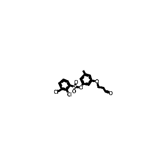 Cc1cc(OCCC=O)cc(OS(=O)(=O)c2cccc(Cl)c2Cl)c1